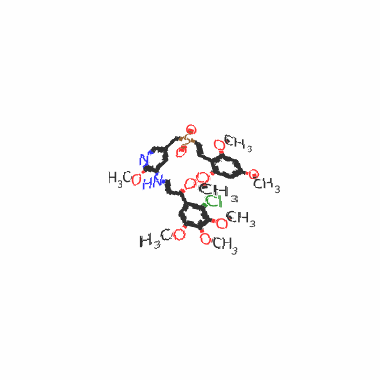 COc1cc(OC)c(C=CS(=O)(=O)Cc2cnc(OC)c(NC=CC(=O)c3cc(OC)c(OC)c(OC)c3Cl)c2)c(OC)c1